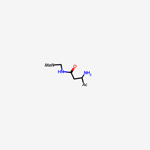 CNCNC(=O)CC(N)C(C)=O